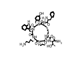 CC(C)[C@@H]1NC(=O)[C@H](CCCCN)NC(=O)[C@@H](Cc2c[nH]c3ccccc23)NC(=O)[C@H](Cc2ccc(O)cc2)NC(=O)[C@@H](NC(=O)[C@H](N)Cc2ccccc2)CSSC[C@@H](C(=O)N[C@H](C(N)=O)[C@@H](C)O)NC1=O